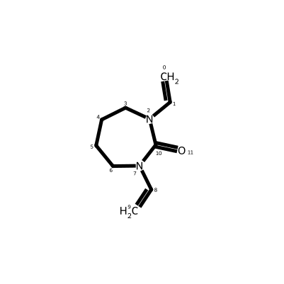 C=CN1CCCCN(C=C)C1=O